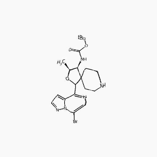 C[C@@H]1OC(c2ncc(Br)n3nccc23)C2(CCNCC2)[C@@H]1NC(=O)OC(C)(C)C